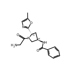 Cc1cnc([C@@H]2C[C@@H](NC(=O)c3ccccc3)CN2C(=O)CN)o1